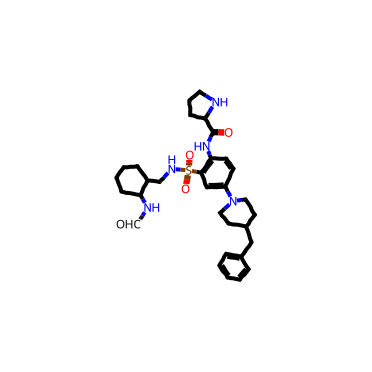 O=CNC1CCCCC1CNS(=O)(=O)c1cc(N2CCC(Cc3ccccc3)CC2)ccc1NC(=O)C1CCCN1